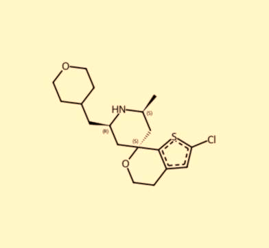 C[C@H]1C[C@@]2(C[C@@H](CC3CCOCC3)N1)OCCc1cc(Cl)sc12